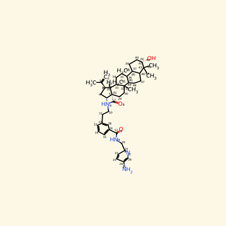 C=C(C)[C@@H]1CC[C@]2(C(=O)NCCc3cccc(C(=O)NCc4ccc(N)cn4)c3)CC[C@]3(C)C(CCC4[C@@]5(C)CC[C@H](O)C(C)(C)C5CC[C@]43C)[C@@H]12